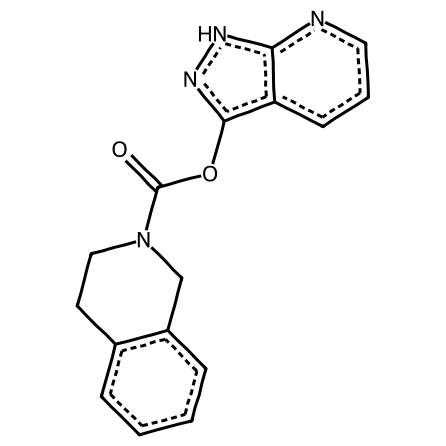 O=C(Oc1n[nH]c2ncccc12)N1CCc2ccccc2C1